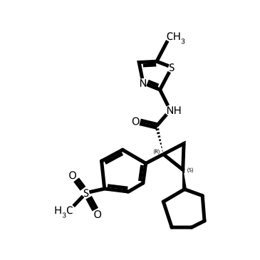 Cc1cnc(NC(=O)[C@]2(c3ccc(S(C)(=O)=O)cc3)C[C@H]2C2CCCCC2)s1